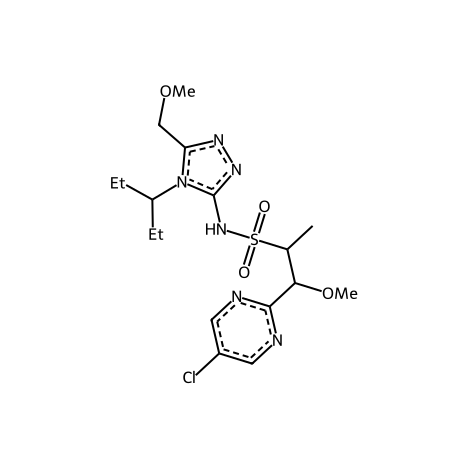 CCC(CC)n1c(COC)nnc1NS(=O)(=O)C(C)C(OC)c1ncc(Cl)cn1